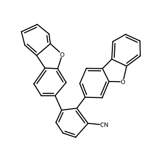 N#Cc1cccc(-c2ccc3c(c2)oc2ccccc23)c1-c1ccc2c(c1)oc1ccccc12